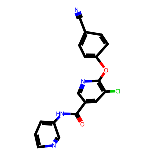 N#Cc1ccc(Oc2ncc(C(=O)Nc3cccnc3)cc2Cl)cc1